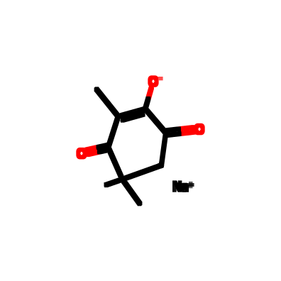 CC1=C([O-])C(=O)CC(C)(C)C1=O.[Na+]